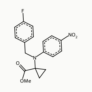 COC(=O)C1(N(Cc2ccc(F)cc2)c2ccc([N+](=O)[O-])cc2)CC1